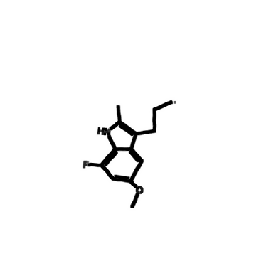 [CH2]CCc1c(C)[nH]c2c(F)cc(OC)cc12